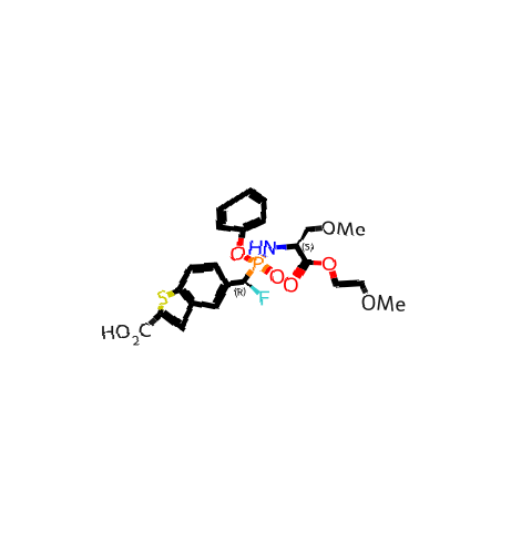 COCCOC(=O)[C@H](COC)NP(=O)(Oc1ccccc1)[C@@H](F)c1ccc2sc(C(=O)O)cc2c1